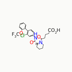 O=C(O)CCCC(=O)N1CCCC[C@@H]1C(=O)Nc1ccc(-c2ccccc2OC(F)(F)F)c(Cl)c1